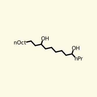 CCCCCCCCCCC(O)CCCCCC(O)CCC